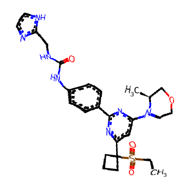 CCS(=O)(=O)C1(c2cc(N3CCOC[C@@H]3C)nc(-c3ccc(NC(=O)NCc4ncc[nH]4)cc3)n2)CCC1